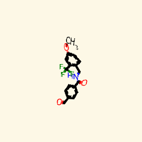 COc1ccc(CNC(=O)c2ccc(C=O)cc2)c(C(F)(F)F)c1